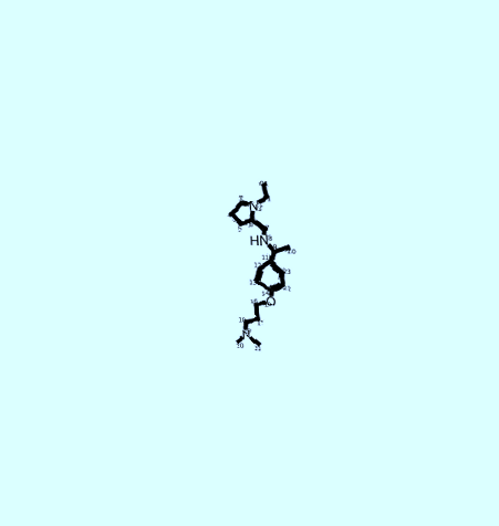 CCN1CCCC1CNC(C)c1ccc(OCCCN(C)C)cc1